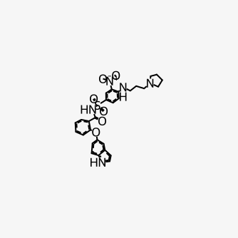 O=C(NS(=O)(=O)c1ccc(NCCCN2CCCC2)c([N+](=O)[O-])c1)c1ccccc1Oc1ccc2[nH]ccc2c1